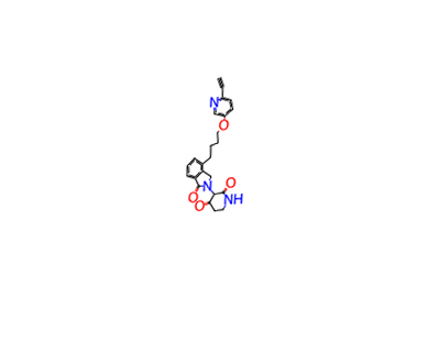 C#Cc1ccc(OCCCCc2cccc3c2CN(C2C(=O)CCNC2=O)C3=O)cn1